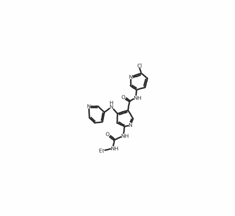 CCNC(=O)Nc1cc(Nc2cccnc2)c(C(=O)Nc2ccc(Cl)nc2)cn1